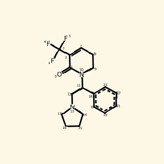 O=C1C(C(F)(F)F)=CCCN1C(CN1CCCC1)c1ccccc1